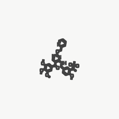 COc1ccc(CNc2nc(OCc3ccccn3)ncc2C(=O)c2cc(OC)c(OC)c(OC)c2)cc1N(C)S(C)(=O)=O